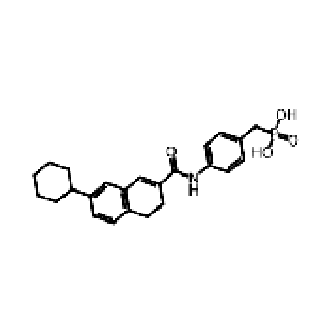 O=C(Nc1ccc(CP(=O)(O)O)cc1)C1=Cc2cc(C3CCCCC3)ccc2CC1